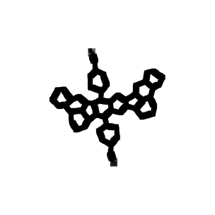 N#Cc1ccc(-c2c3cc4c(cc3c(-c3ccc(C#N)cc3)c3c5cc6ccccc6c6cccc(c23)c65)c2cc3ccccc3c3cccc4c32)cc1